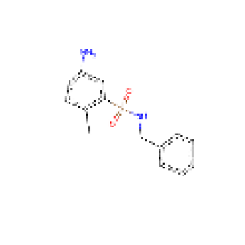 Cc1ccc(N)cc1S(=O)(=O)NCc1ccccc1